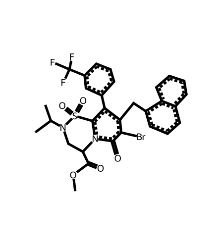 COC(=O)C1CN(C(C)C)S(=O)(=O)c2c(-c3cccc(C(F)(F)F)c3)c(Cc3cccc4ccccc34)c(Br)c(=O)n21